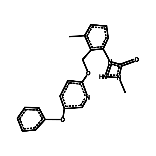 Cc1cccc(-n2[nH]n(C)c2=O)c1COc1ccc(Oc2ccccc2)cn1